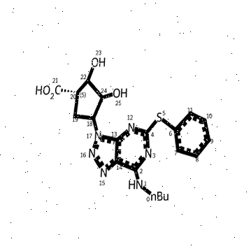 CCCCNc1nc(Sc2ccccc2)nc2c1nnn2C1C[C@H](C(=O)O)C(O)C1O